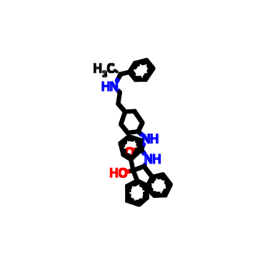 C[C@@H](NCCC1CCC(NC(=O)N[C@@H](c2ccccc2)C(O)(c2ccccc2)c2ccccc2)CC1)c1ccccc1